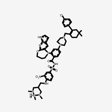 CN1CC(CNc2ccc(S(=O)(=O)NC(=O)c3ccc(N4CCN(CC5=C(c6ccc(Cl)cc6)CC(C)(C)CC5)CC4)cc3N3CCCOc4nc5[nH]ccc5cc43)cc2[N+](=O)[O-])CN(C)[PH]1(C)O